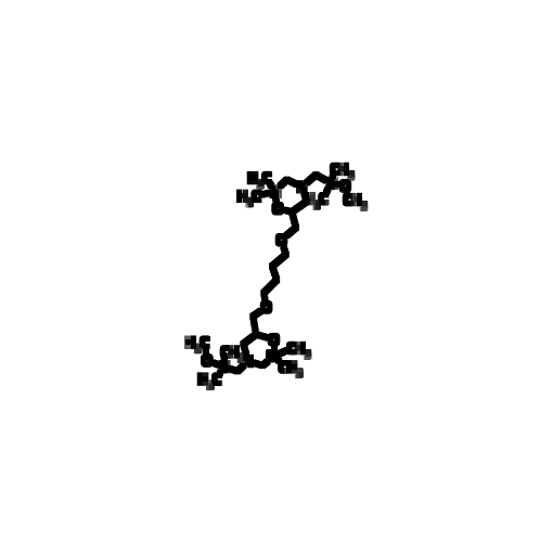 CO[Si](C)(C)CN1CC(COCCCCOCC2CN(C[Si](C)(C)OC)C[Si](C)(C)O2)O[Si](C)(C)C1